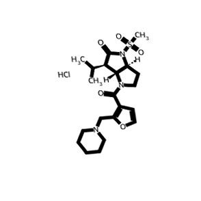 CC(C)[C@H]1C(=O)N(S(C)(=O)=O)[C@H]2CCN(C(=O)c3ccoc3CN3CCCCC3)[C@H]12.Cl